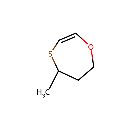 CC1CCOC=CS1